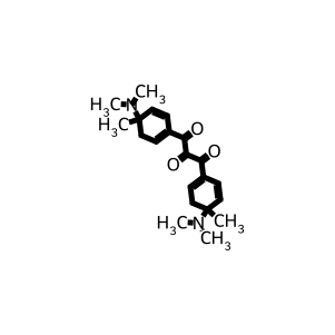 CN(C)C1(C)C=CC(C(=O)C(=O)C(=O)C2=CCC(C)(N(C)C)C=C2)=CC1